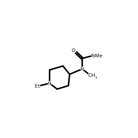 CCN1CCC(N(C)C(=O)NC)CC1